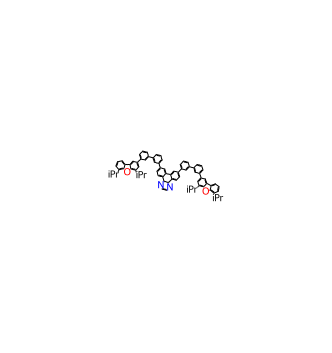 CC(C)c1cccc2c1oc1c(C(C)C)cc(-c3cccc(-c4cccc(-c5ccc6c(c5)c5cc(-c7cccc(-c8cccc(-c9cc(C(C)C)c%10oc%11c(C(C)C)cccc%11c%10c9)c8)c7)ccc5c5nccnc65)c4)c3)cc12